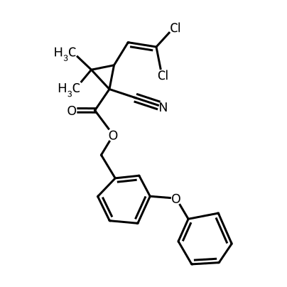 CC1(C)C(C=C(Cl)Cl)C1(C#N)C(=O)OCc1cccc(Oc2ccccc2)c1